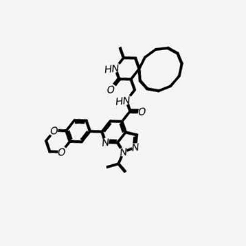 CC1CC2(CCCCCCCCCC2)C(CNC(=O)c2cc(-c3ccc4c(c3)OCCO4)nc3c2cnn3C(C)C)C(=O)N1